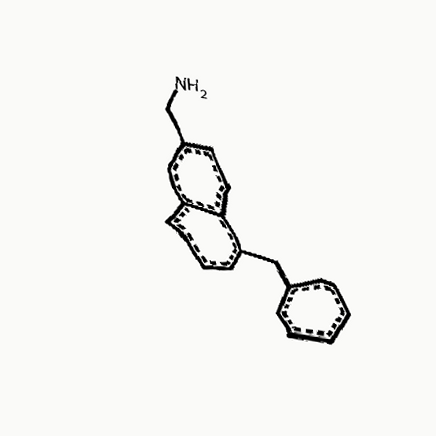 NCc1ccc2c(Cc3ccccc3)cccc2c1